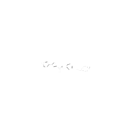 CCN1CCN(CCOc2cccc(CC(=O)Nc3cc(-c4ccnc(F)c4)cs3)c2)CC1